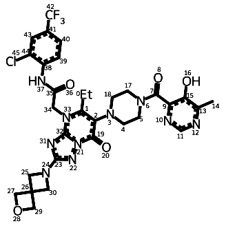 CCc1c(N2CCN(C(=O)c3ncnc(C)c3O)CC2)c(=O)n2nc(N3CC4(COC4)C3)nc2n1CC(=O)Nc1ccc(C(F)(F)F)cc1Cl